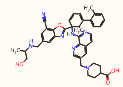 Cc1ccccc1C1=CC=CC(Nc2nccc3cc(CN4CCC(C(=O)O)CC4)cnc23)(c2nc3cc(CNC(C)CO)cc(C#N)c3o2)[C@H]1C